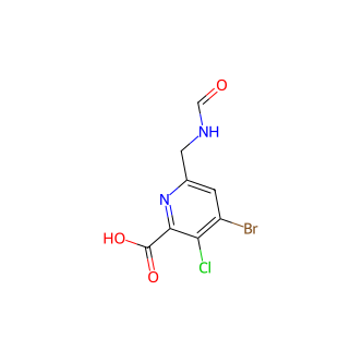 O=CNCc1cc(Br)c(Cl)c(C(=O)O)n1